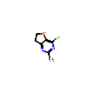 Cc1nc(Cl)c2c(n1)CCS2